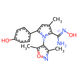 Cc1cc(-c2ccc(O)cc2)n(-c2c(C)noc2C)c1/C(N)=N/O